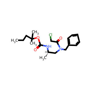 CCCC(C)(C)OC(=O)N[C@@H](C)CN(Cc1ccccc1)C(=O)CCl